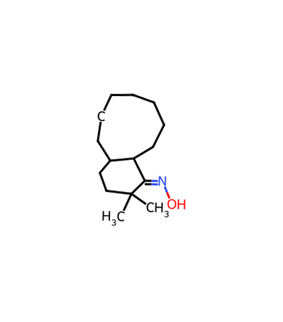 CC1(C)CCC2CCCCCCCC2/C1=N/O